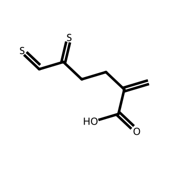 C=C(CCC(=S)C=S)C(=O)O